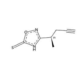 C#CC[C@@H](C)c1noc(=S)[nH]1